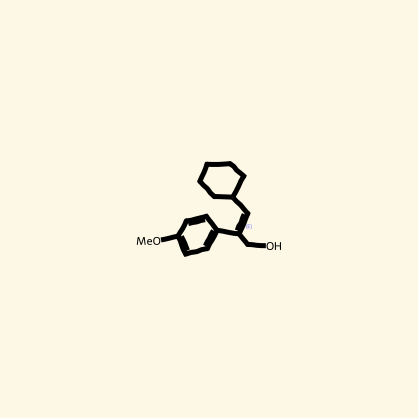 COc1ccc(/C(=C\C2CCCCC2)CO)cc1